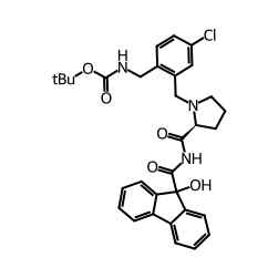 CC(C)(C)OC(=O)NCc1ccc(Cl)cc1CN1CCC[C@H]1C(=O)NC(=O)C1(O)c2ccccc2-c2ccccc21